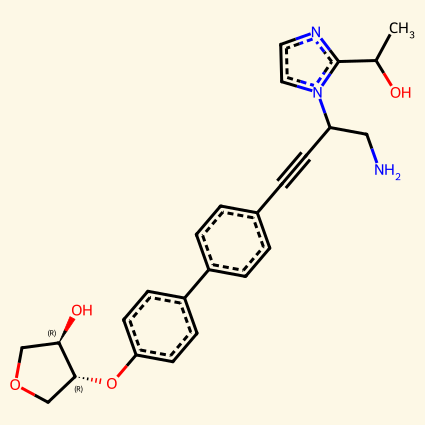 CC(O)c1nccn1C(C#Cc1ccc(-c2ccc(O[C@@H]3COC[C@H]3O)cc2)cc1)CN